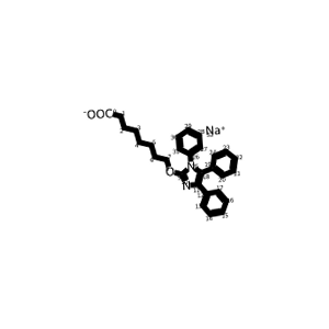 O=C([O-])CCCCCCCOc1nc(-c2ccccc2)c(-c2ccccc2)n1-c1ccccc1.[Na+]